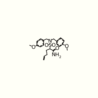 C=CCCC(C(N)=O)S(=O)(=O)N(Cc1ccc(OC)cc1)Cc1ccc(OC)cc1